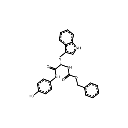 O=C(N[C@@H](Cc1c[nH]c2ccccc12)C(=O)Nc1ccc(O)cc1)OCc1ccccc1